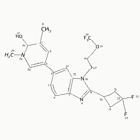 CC1=CC(c2ccc3nc(C4CC(F)(F)C4)n(CCOC(F)(F)F)c3c2)=CN(C)C1O